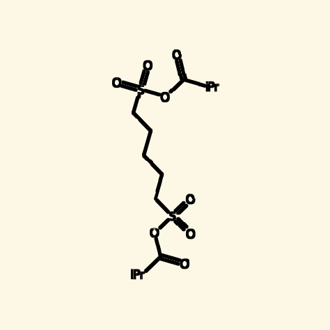 CC(C)C(=O)OS(=O)(=O)CCCCCS(=O)(=O)OC(=O)C(C)C